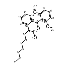 CCCCCCCC(P=O)c1ccccc1C(=O)c1c(OC)cccc1OC